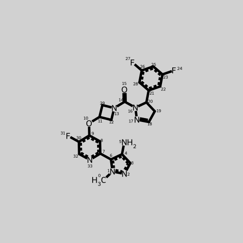 Cn1ncc(N)c1-c1cc(OC2CN(C(=O)N3N=CCC3c3cc(F)cc(F)c3)C2)c(F)cn1